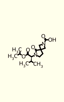 CC(C)OC(=O)[C@H](C(C)C)N1CCC2(CN(C(=O)O)C2)C1=O